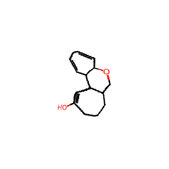 OC1=CC2C(CCC1)COC1C=CC=CC12